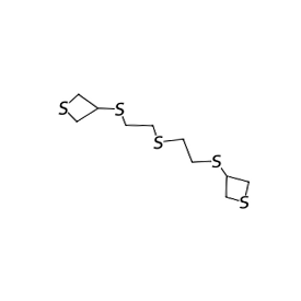 C(CSC1CSC1)SCCSC1CSC1